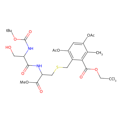 COC(=O)C(CSCc1c(OC(C)=O)cc(OC(C)=O)c(C)c1C(=O)OCC(Cl)(Cl)Cl)NC(=O)C(CO)NC(=O)OC(C)(C)C